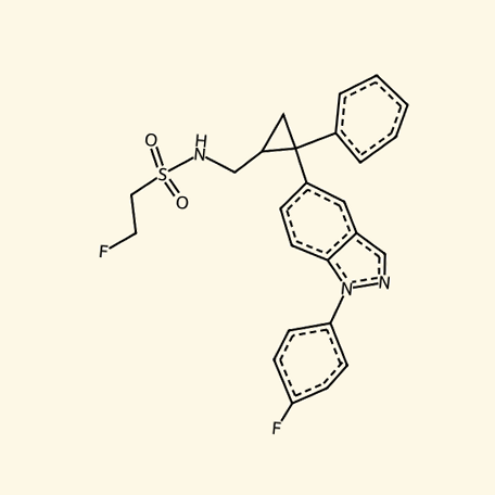 O=S(=O)(CCF)NCC1CC1(c1ccccc1)c1ccc2c(cnn2-c2ccc(F)cc2)c1